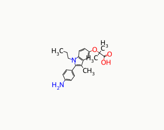 CCCn1c(-c2ccc(N)cc2)c(C)c2cc(OC(C)(C)C(=O)O)ccc21